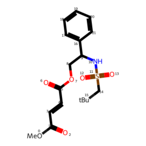 COC(=O)/C=C/C(=O)OCC(NS(=O)(=O)CC(C)(C)C)c1ccccc1